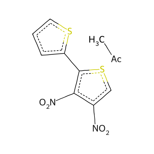 CC(C)=O.O=[N+]([O-])c1csc(-c2cccs2)c1[N+](=O)[O-]